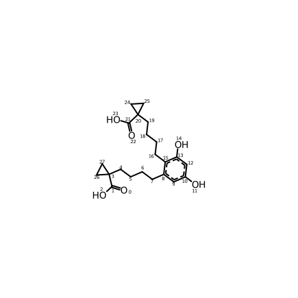 O=C(O)C1(CCCCc2cc(O)cc(O)c2CCCCC2(C(=O)O)CC2)CC1